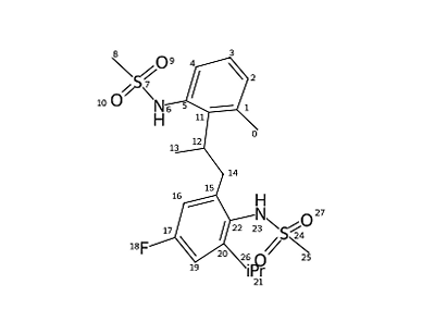 Cc1cccc(NS(C)(=O)=O)c1C(C)Cc1cc(F)cc(C(C)C)c1NS(C)(=O)=O